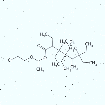 CCC(C(=O)OC(C)OCCCl)C(CC)(CC)C(CC)(CC)C(C)C(C)(CC)CC